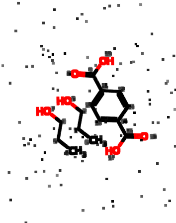 CCCO.CCCO.O=C(O)c1ccc(C(=O)O)cc1